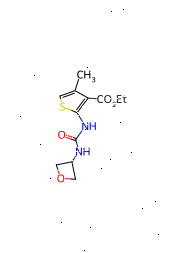 CCOC(=O)c1c(C)csc1NC(=O)NC1COC1